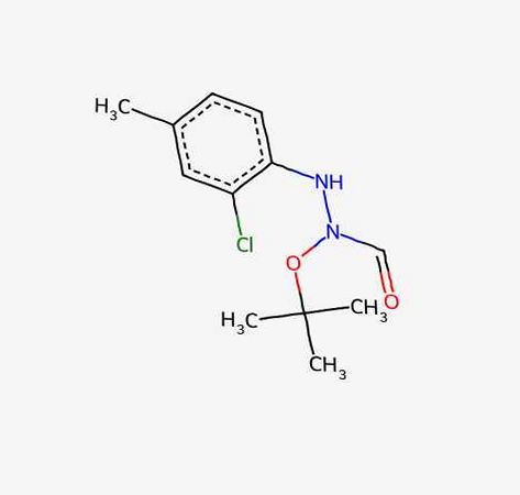 Cc1ccc(NN(C=O)OC(C)(C)C)c(Cl)c1